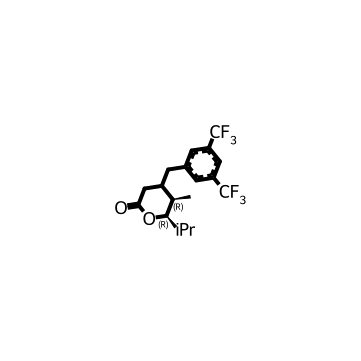 CC(C)[C@H]1OC(=O)CC(Cc2cc(C(F)(F)F)cc(C(F)(F)F)c2)[C@H]1C